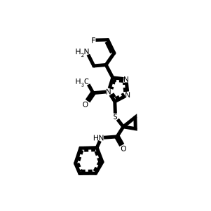 CC(=O)n1c(SC2(C(=O)Nc3ccccc3)CC2)nnc1C(/C=C\F)CN